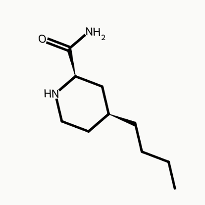 CCCC[C@H]1CCN[C@@H](C(N)=O)C1